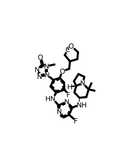 Cn1c(=O)nnn1-c1cc(Nc2ncc(F)c(N[C@@H]3C[C@@H]4CCCN4C(C)(C)C3)n2)c(F)cc1OCC1CCOCC1